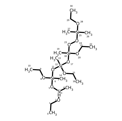 CCO[SiH](C)O[Si](C)(OCC)O[Si](C)(OCC)O[Si](C)(OCC)OO[Si](C)(C)OCC